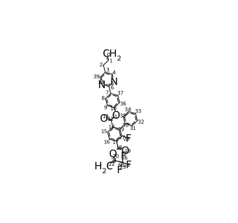 C=CCc1cnc(-c2ccc(OC(=O)c3ccc(C(=O)OC(=C)C(F)(F)F)c(F)c3-c3ccccc3)cc2)nc1